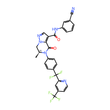 C[C@H]1Cn2ncc(C(=O)Nc3cccc(C#N)c3)c2C(=O)N1c1ccc(C(F)(F)c2cc(C(F)(F)F)ccn2)cc1